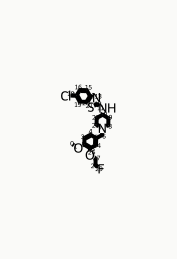 COc1ccc(CN2CCC(Nc3nc4ccc(Cl)cc4s3)CC2)cc1OCCF